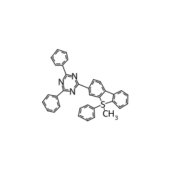 CS1(c2ccccc2)c2ccccc2-c2ccc(-c3nc(-c4ccccc4)nc(-c4ccccc4)n3)cc21